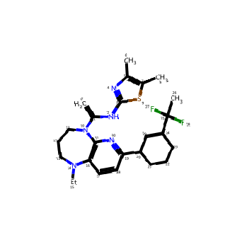 C=C(Nc1nc(C)c(C)s1)N1CCCN(CC)c2ccc(C3CCCC(C(C)(F)F)C3)nc21